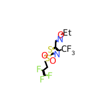 CCON=Cc1sc(S(=O)(=O)CCC(F)=C(F)F)nc1C(F)(F)F